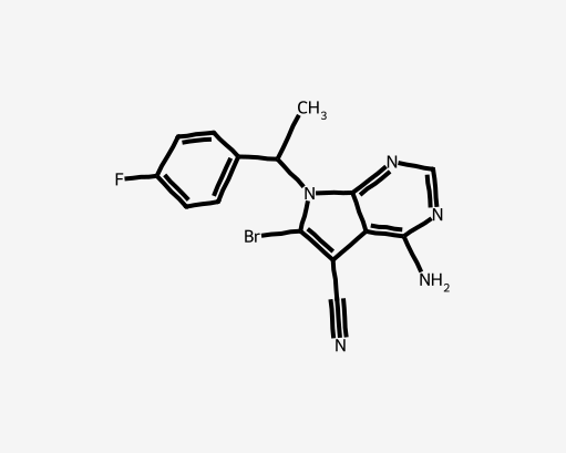 CC(c1ccc(F)cc1)n1c(Br)c(C#N)c2c(N)ncnc21